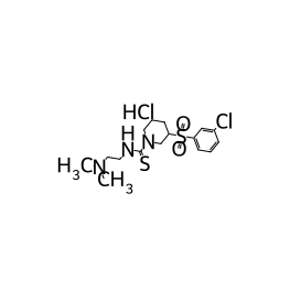 CN(C)CCNC(=S)N1CCCC(S(=O)(=O)c2cccc(Cl)c2)C1.Cl